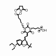 CCN(CC)c1ccc2c(c1)OC(C(C)(C)C)=C/C2=C\C=C1/C(=O)N(CCCCCC(=O)ON2C(=O)CCC2=O)C(=O)N(CCCS(=O)(=O)O)C1=O